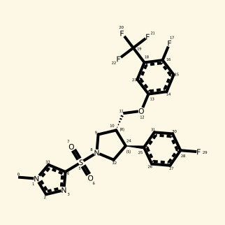 Cn1cnc(S(=O)(=O)N2C[C@H](COc3ccc(F)c(C(F)(F)F)c3)[C@@H](c3ccc(F)cc3)C2)c1